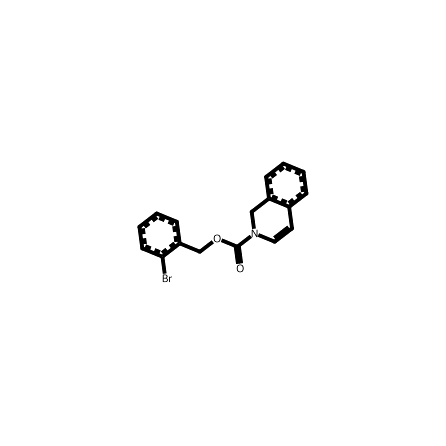 O=C(OCc1ccccc1Br)N1C=Cc2ccccc2C1